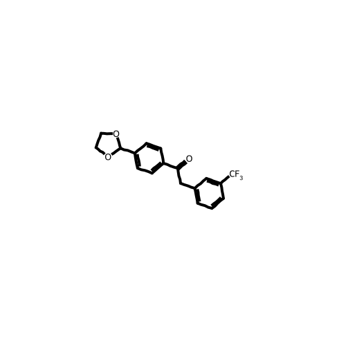 O=C(Cc1cccc(C(F)(F)F)c1)c1ccc(C2OCCO2)cc1